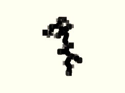 CON(C)S(=O)(=O)CCNC(=O)N(CCCl)N=O